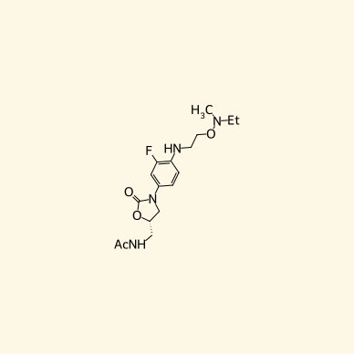 CCN(C)OCCNc1ccc(N2C[C@H](CNC(C)=O)OC2=O)cc1F